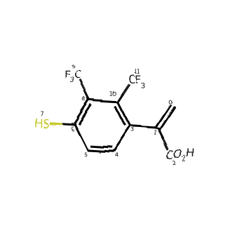 C=C(C(=O)O)c1ccc(S)c(C(F)(F)F)c1C(F)(F)F